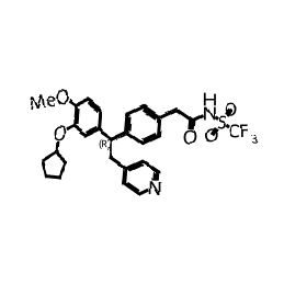 COc1ccc([C@H](Cc2ccncc2)c2ccc(CC(=O)NS(=O)(=O)C(F)(F)F)cc2)cc1OC1CCCC1